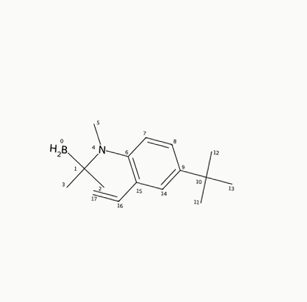 BC(C)(C)N(C)c1ccc(C(C)(C)C)cc1C=C